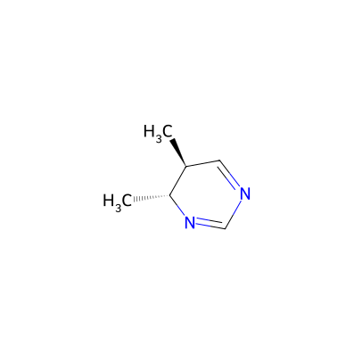 C[C@H]1C=NC=N[C@@H]1C